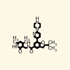 Cc1cc(C)c(CNC(=O)c2cc3c(c(-c4ccc(N5CCNCC5)nc4)c2)OC(C(C)C)C3)c(=O)[nH]1